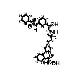 CC(C)(CCn1cnc(-c2ccccc2C(=O)NO)c1)NCC(O)c1cccc(NS(=O)(=O)c2ccccc2)c1